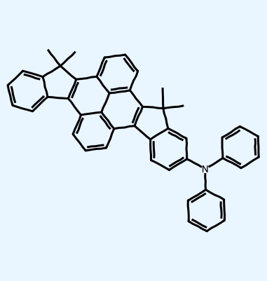 CC1(C)c2ccccc2-c2c1c1cccc3c4c(c5cccc2c5c13)-c1ccc(N(c2ccccc2)c2ccccc2)cc1C4(C)C